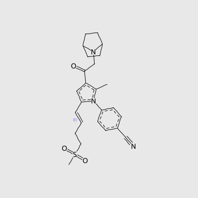 Cc1c(C(=O)CN2C3CCC2CC3)cc(/C=C/CCS(C)(=O)=O)n1-c1ccc(C#N)cc1